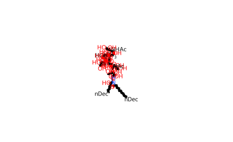 CCCCCCCCCCCCC/C=C/[C@@H](O)[C@H](CO[C@@H]1OC(CO)[C@@H](O[C@@H]2OC(CO)[C@H](O)[C@H](O[C@@H]3OC(CO[C@]4(C(=O)O)CC(O)[C@@H](NC(C)=O)C([C@H](O)[C@H](O)CO)O4)[C@@H](O[C@H]4OC(C)[C@@H](O)C(O)[C@@H]4O)[C@H](O[C@@H]4OC(CO)[C@H](O)[C@H](O)C4O)C3NC(C)=O)C2O)[C@H](O)C1O)NC(=O)CCCCCCCCCCCCCCCCCCC